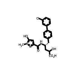 Cn1nc(C(=O)N[C@H](Cc2ccc(-c3cccc(Cl)c3)cc2)CC(O)C(=O)O)cc1O